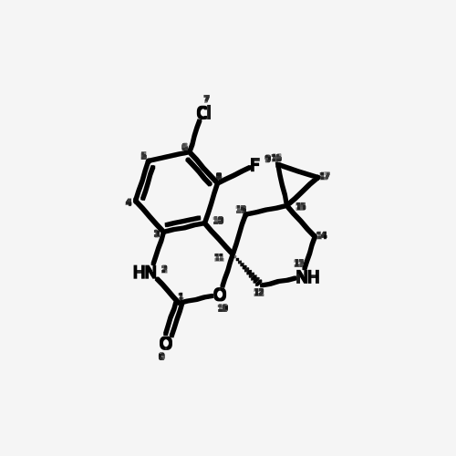 O=C1Nc2ccc(Cl)c(F)c2[C@]2(CNCC3(CC3)C2)O1